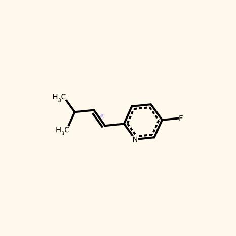 CC(C)/C=C/c1ccc(F)cn1